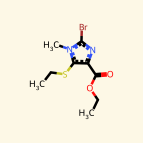 CCOC(=O)c1nc(Br)n(C)c1SCC